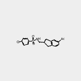 CC(=O)c1ccc2c(c1)CC(CNS(=O)(=O)c1ccc(Cl)cc1)C2